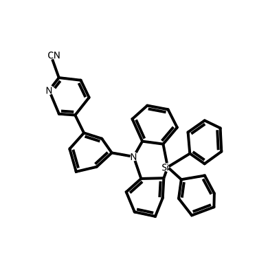 N#Cc1ccc(-c2cccc(N3c4ccccc4[Si](c4ccccc4)(c4ccccc4)c4ccccc43)c2)cn1